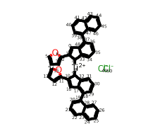 C1=C(c2ccco2)[CH]([Ti+2][CH]2C(c3ccco3)=Cc3c(-c4cccc5ccccc45)cccc32)c2cccc(-c3cccc4ccccc34)c21.[Cl-].[Cl-]